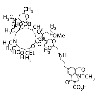 CC[C@H]1OC(=O)[C@H](C)[C@@H](O[C@H]2C[C@@](C)(OC)[C@@H](OC(=O)CCNCCCc3cc4c5c(c3)c(=O)c(C(=O)O)cn5C(C)OC4)[C@H](C)O2)[C@H](C)[C@@H](O[C@@H]2O[C@H](C)C[C@H](N(C)C)[C@H]2O)[C@](C)(O)C[C@@H](C)CN(C)[C@H](C)[C@@H](O)[C@]1(C)O